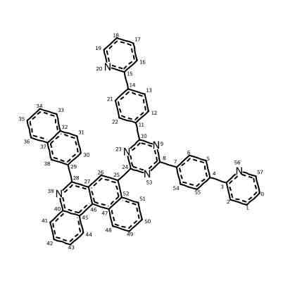 c1ccc(-c2ccc(-c3nc(-c4ccc(-c5ccccn5)cc4)nc(-c4cc5c(-c6ccc7ccccc7c6)nc6ccccc6c5c5ccccc45)n3)cc2)nc1